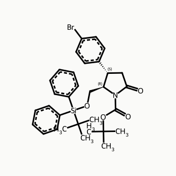 CC(C)(C)OC(=O)N1C(=O)C[C@@H](c2ccc(Br)cc2)[C@@H]1CO[Si](c1ccccc1)(c1ccccc1)C(C)(C)C